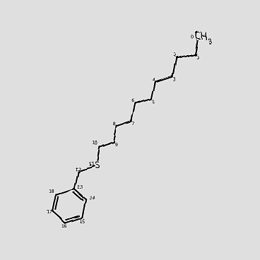 CCCCCCCCCCCSCc1ccccc1